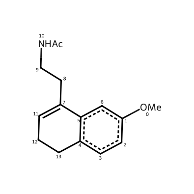 COc1ccc2c(c1)C(CCNC(C)=O)=CCC2